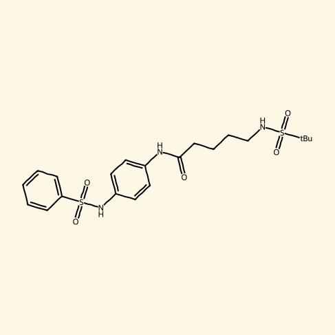 CC(C)(C)S(=O)(=O)NCCCCC(=O)Nc1ccc(NS(=O)(=O)c2ccccc2)cc1